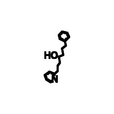 OC(CCCc1ccccc1)CCCc1ccccn1